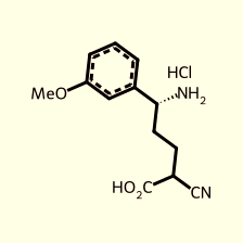 COc1cccc([C@H](N)CCC(C#N)C(=O)O)c1.Cl